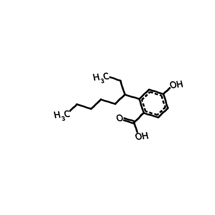 CCCCCC(CC)c1cc(O)ccc1C(=O)O